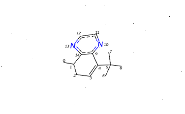 CC1CC=C(C(C)(C)C)c2nccnc21